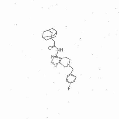 O=C(CC12CC3CC(CC(C3)C1)C2)Nc1ncnc2c1CCN(Cc1ccc(F)cc1)C2